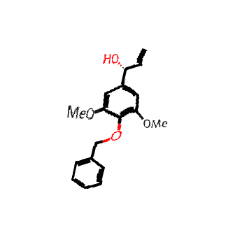 C=C[C@@H](O)c1cc(OC)c(OCc2ccccc2)c(OC)c1